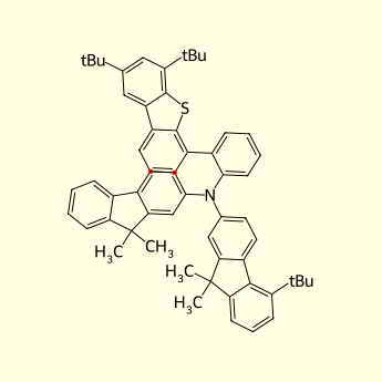 CC(C)(C)c1cc(C(C)(C)C)c2sc3c(-c4ccccc4N(c4ccc5c(c4)C(C)(C)c4ccccc4-5)c4ccc5c(c4)C(C)(C)c4cccc(C(C)(C)C)c4-5)cccc3c2c1